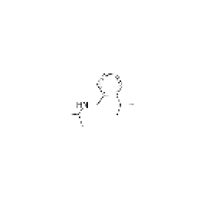 CC(C)NCc1ccccc1C(C)C